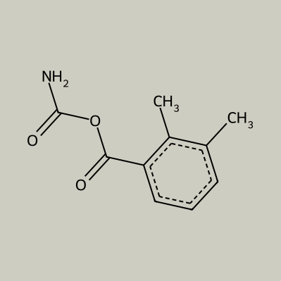 Cc1cccc(C(=O)OC(N)=O)c1C